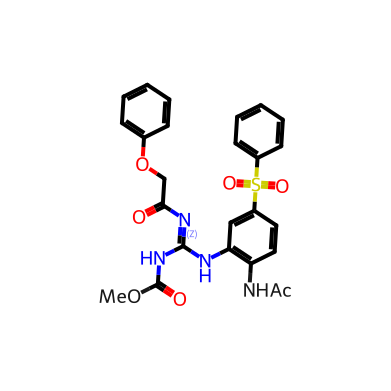 COC(=O)N/C(=N\C(=O)COc1ccccc1)Nc1cc(S(=O)(=O)c2ccccc2)ccc1NC(C)=O